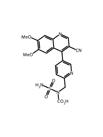 COc1cc2ncc(C#N)c(-c3ccc(CN(C(=O)O)S(N)(=O)=O)nc3)c2cc1OC